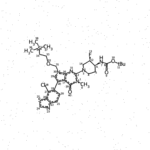 Cn1c(N2CC[C@H](NC(=O)OC(C)(C)C)[C@H](F)C2)nc2c(c(-c3ccc4ncsc4c3Cl)cn2COCC[Si](C)(C)C)c1=O